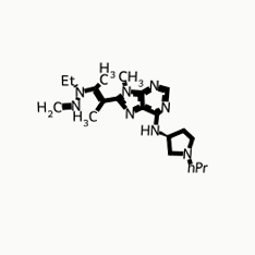 C=NN(CC)/C(C)=C(\C)c1nc2c(N[C@H]3CCN(CCC)C3)ncnc2n1C